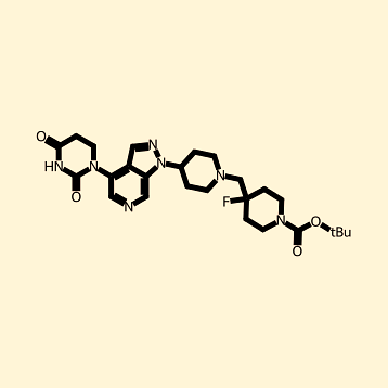 CC(C)(C)OC(=O)N1CCC(F)(CN2CCC(n3ncc4c(N5CCC(=O)NC5=O)cncc43)CC2)CC1